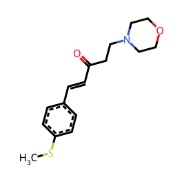 CSc1ccc(/C=C/C(=O)CCN2CCOCC2)cc1